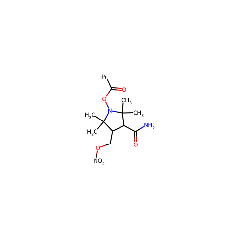 CC(C)C(=O)ON1C(C)(C)C(CO[N+](=O)[O-])C(C(N)=O)C1(C)C